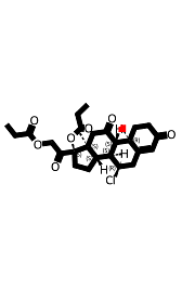 CCC(=O)OCC(=O)[C@]1(OC(=O)CC)CC[C@H]2[C@@H]3[C@H](Cl)CC4=CC(=O)CC[C@]4(C)[C@H]3C(=O)C[C@@]21C